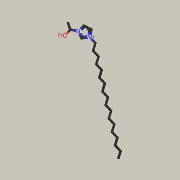 CCCCCCCCCCCCCCCCCC[n+]1ccn(C(C)O)c1